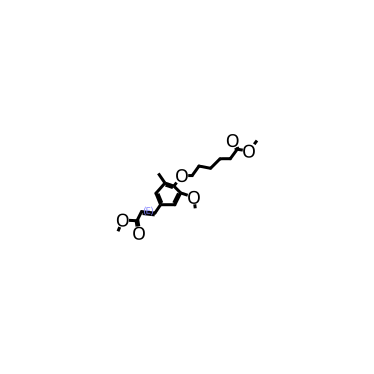 COC(=O)/C=C/c1cc(C)c(OCCCCCC(=O)OC)c(OC)c1